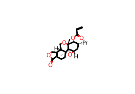 C=CC(=O)O[C@@H]1[C@H](C(C)C)C[C@@H]2O[C@@]23[C@@]2(C)CCC4=C(COC4=O)[C@@H]2CO[C@]13C